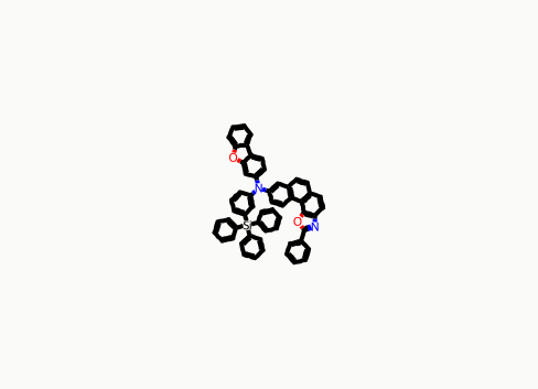 c1ccc(-c2nc3ccc4ccc5cc(N(c6cccc([Si](c7ccccc7)(c7ccccc7)c7ccccc7)c6)c6ccc7c(c6)oc6ccccc67)ccc5c4c3o2)cc1